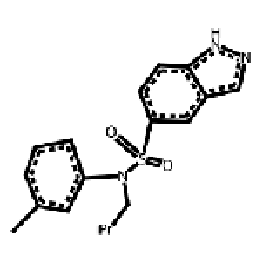 Cc1cccc(N(CC(C)C)S(=O)(=O)c2ccc3[nH]ncc3c2)c1